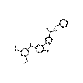 COc1cc(Nc2ncc(F)c(-n3cc(C(=O)NCc4ccccc4)cn3)n2)cc(OC)c1